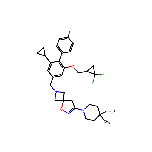 CC1(C(=O)O)CCN(C2=NOC3(C2)CN(Cc2cc(OCC4CC4(F)F)c(-c4ccc(F)cc4)c(C4CC4)c2)C3)CC1